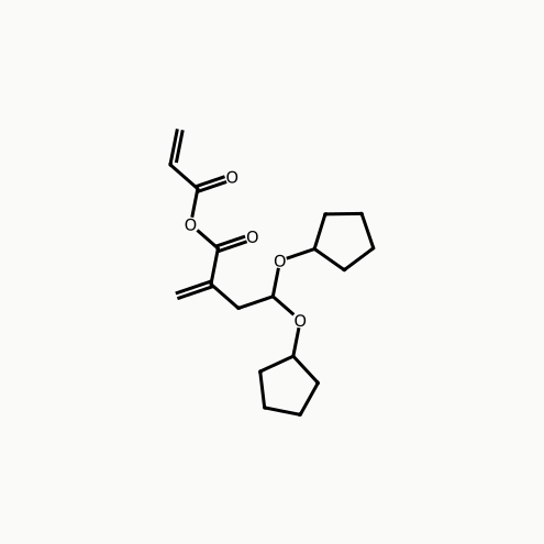 C=CC(=O)OC(=O)C(=C)CC(OC1CCCC1)OC1CCCC1